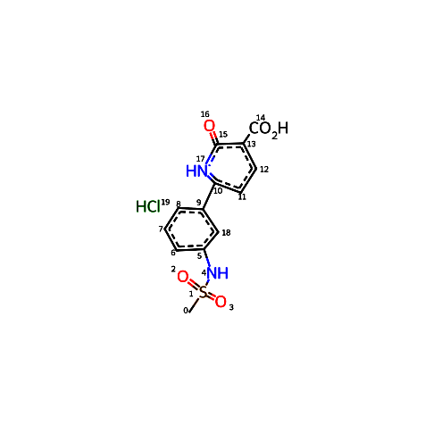 CS(=O)(=O)Nc1cccc(-c2ccc(C(=O)O)c(=O)[nH]2)c1.Cl